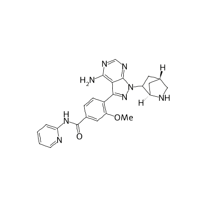 COc1cc(C(=O)Nc2ccccn2)ccc1-c1nn(C2C[C@@H]3CN[C@@H]2C3)c2ncnc(N)c12